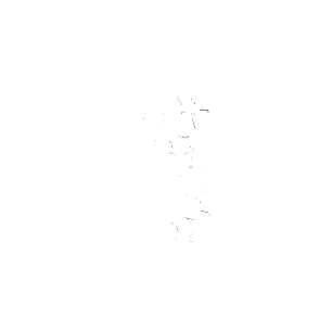 CN(C)CCOc1cc(/C=C2\SC(=O)NC2=O)nc(N2CC3CN(C(=O)c4ccccc4)CC3C2)n1